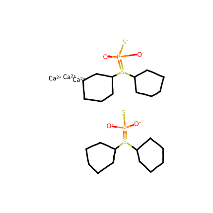 [Ca+2].[Ca+2].[Ca+2].[O-]P([O-])([S-])=S(C1CCCCC1)C1CCCCC1.[O-]P([O-])([S-])=S(C1CCCCC1)C1CCCCC1